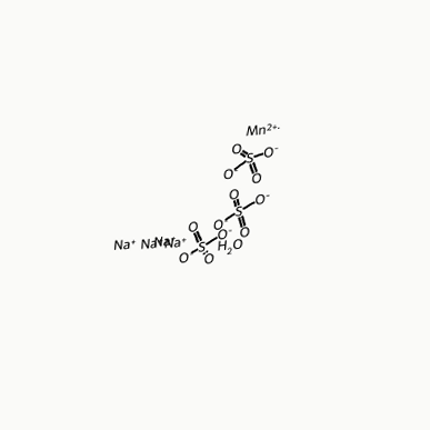 O.O=S(=O)([O-])[O-].O=S(=O)([O-])[O-].O=S(=O)([O-])[O-].[Mn+2].[Na+].[Na+].[Na+].[Na+]